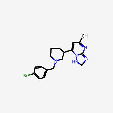 CC1=NC2=NCNN2C(C2CCCN(Cc3ccc(Br)cc3)C2)=C1